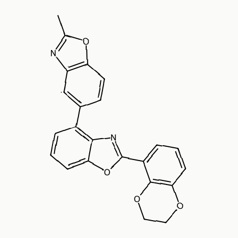 Cc1nc2[c]c(-c3cccc4oc(-c5cccc6c5OCCO6)nc34)ccc2o1